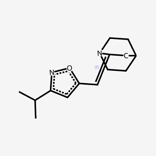 CC(C)c1cc(/C=C2/CC3CCN2CC3)on1